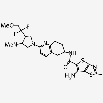 CNC1CN(c2ccc3c(n2)CCC(NC(=O)c2sc4nc(C)sc4c2N)C3)CC1C(F)(F)COC